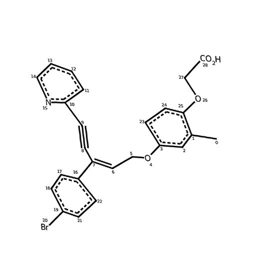 Cc1cc(OC/C=C(\C#Cc2ccccn2)c2ccc(Br)cc2)ccc1OCC(=O)O